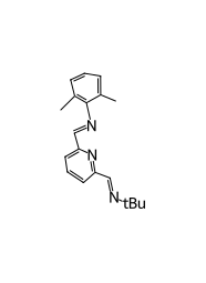 Cc1cccc(C)c1N=Cc1cccc(C=NC(C)(C)C)n1